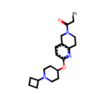 CC(C)CC(=O)N1CCc2nc(OC3CCN(C4CCC4)CC3)ccc2C1